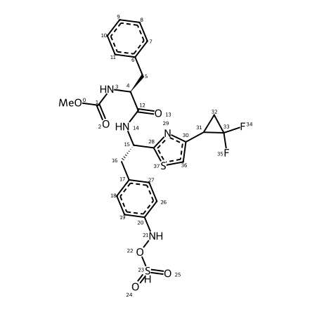 COC(=O)N[C@@H](Cc1ccccc1)C(=O)N[C@@H](Cc1ccc(NO[SH](=O)=O)cc1)c1nc(C2CC2(F)F)cs1